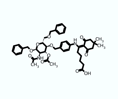 CC(=O)N[C@H]1[C@@H](OCc2ccccc2)O[C@H](COCc2ccccc2)[C@@H](OCc2ccc(NC(CCCCC(=O)O)=C3C(=O)CC(C)(C)CC3=O)cc2)[C@@H]1OC(C)=O